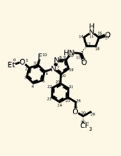 CCOc1cccc(-n2nc(NC(=O)[C@@H]3CNC(=O)C3)cc2-c2cccc(CO[C@H](C)C(F)(F)F)c2)c1F